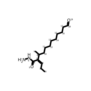 CCC=C(C(=O)NN)C(C)CCCCCCCCC=O